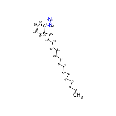 CCCCCCCCCCCCCCCCc1ccccc1N=[N]